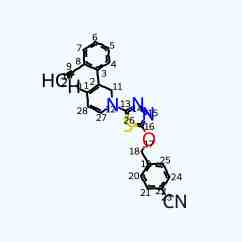 [2H]C1=C(c2ccccc2C#C)CN(c2nnc(OCc3ccc(C#N)cc3)s2)C=C1